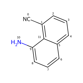 N#Cc1cccc2cccc(N)c12